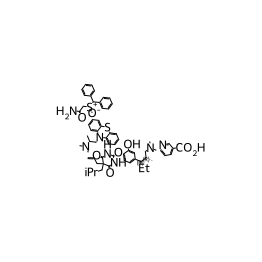 C=CCC1(CC(C)C)C(=O)NC(=O)NC1=O.CC(CN1c2ccccc2Sc2ccccc21)N(C)C.CC[C@@H](c1cccc(O)c1)[C@@H](C)CN(C)C.NC(=O)C[S+]([O-])C(c1ccccc1)c1ccccc1.O=C(O)c1cccnc1